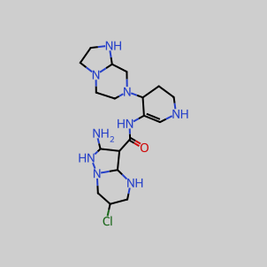 NC1NN2CC(Cl)CNC2C1C(=O)NC1=CNCCC1N1CCN2CCNC2C1